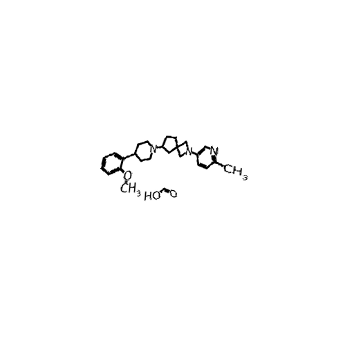 COc1ccccc1C1CCN(C2CCC3(C2)CN(c2ccc(C)nc2)C3)CC1.O=CO